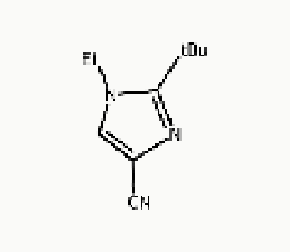 CCn1cc(C#N)nc1C(C)(C)C